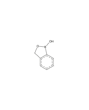 OB1OCc2cc[c]cc21